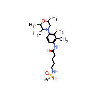 Cc1c(NC(=O)CCCCNS(=O)(=O)C(C)C)ccc(N2C[C@H](C)O[C@H](C)C2C)c1C